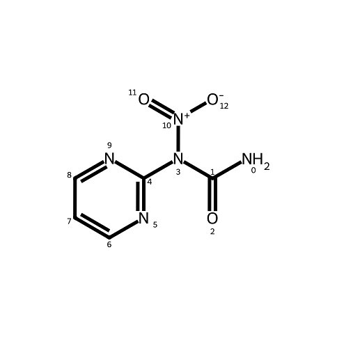 NC(=O)N(c1ncccn1)[N+](=O)[O-]